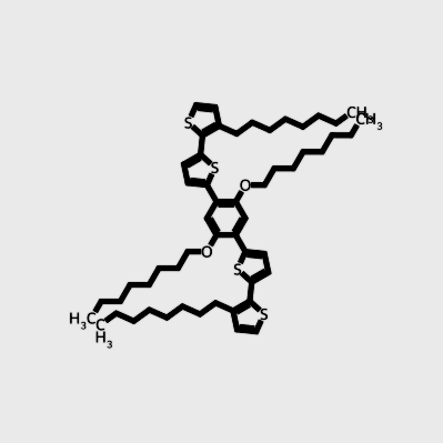 CCCCCCCCOc1cc(-c2ccc(-c3sccc3CCCCCCCC)s2)c(OCCCCCCCC)cc1-c1ccc(-c2sccc2CCCCCCCC)s1